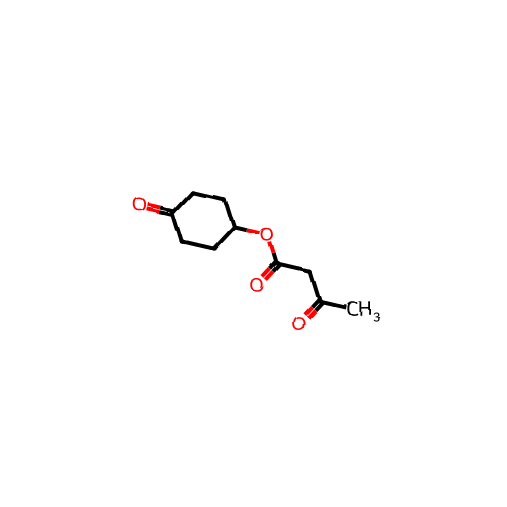 CC(=O)CC(=O)OC1CCC(=O)CC1